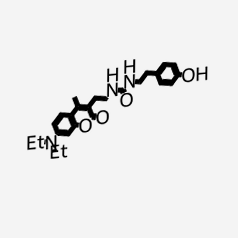 CCN(CC)c1ccc2c(C)c(CCNC(=O)NCCc3ccc(O)cc3)c(=O)oc2c1